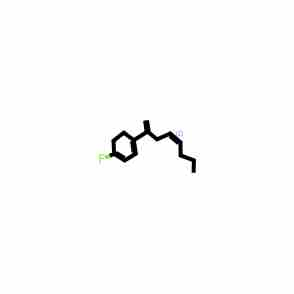 C=C(C/C=C\CCC)C1=CC=C(F)CC1